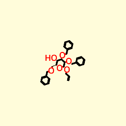 C=CCO[C@H]1O[C@H](COCc2ccccc2)[C@@H](O)[C@H](OCc2ccccc2)[C@H]1OCc1ccccc1